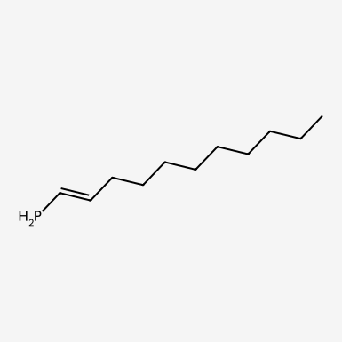 CCCCCCCCCC=CP